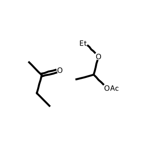 CCC(C)=O.CCOC(C)OC(C)=O